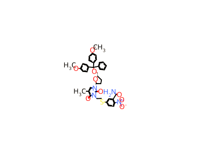 COc1ccc(C(OC[C@@H]2CC[C@H](n3cc(C)c(=O)n(CCSc4ccc([N+](=O)[O-])c(C(N)=O)c4)c3=O)O2)(c2ccccc2)c2ccc(OC)cc2)cc1